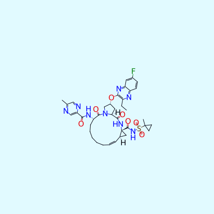 CCc1nc2ccc(F)cc2nc1O[C@@H]1C[C@H]2C(=O)N[C@]3(C(=O)NS(=O)(=O)C4(C)CC4)C[C@H]3C=CCCCCC[C@H](NC(=O)c3cnc(C)cn3)C(=O)N2C1